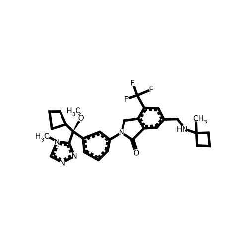 CO[C@@](c1cccc(N2Cc3c(cc(CNC4(C)CCC4)cc3C(F)(F)F)C2=O)c1)(c1nncn1C)C1CCC1